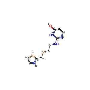 O=c1ccnc(NCCSCc2nccs2)[nH]1